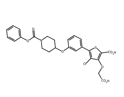 O=C(O)COc1c(C(=O)O)sc(-c2cccc(OC3CCN(C(=O)Oc4ccccc4)CC3)c2)c1Cl